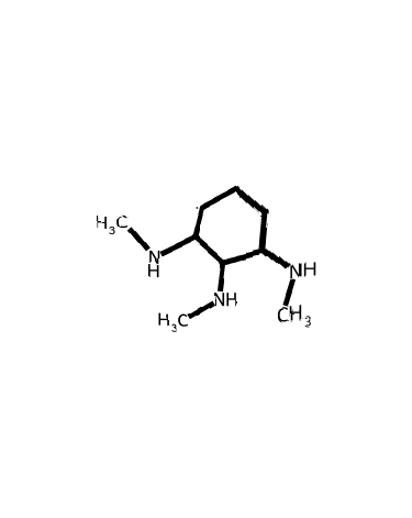 CNC1[CH]CCC(NC)C1NC